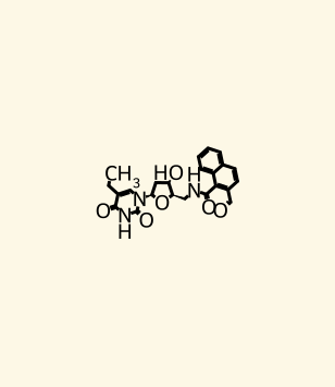 CCc1cn([C@H]2C[C@H](O)[C@@H](CNC(=O)c3c(C=O)ccc4ccccc34)O2)c(=O)[nH]c1=O